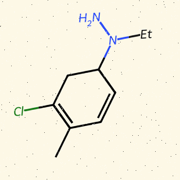 CCN(N)C1C=CC(C)=C(Cl)C1